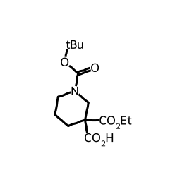 CCOC(=O)C1(C(=O)O)CCCN(C(=O)OC(C)(C)C)C1